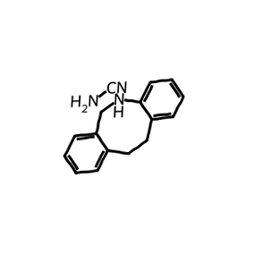 N#CN.c1ccc2c(c1)CCc1ccccc1NC2